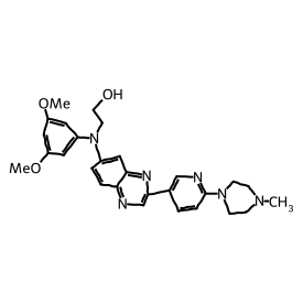 COc1cc(OC)cc(N(CCO)c2ccc3ncc(-c4ccc(N5CCN(C)CC5)nc4)nc3c2)c1